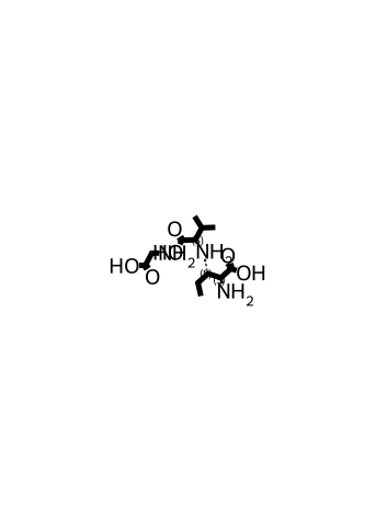 CC(C)[C@H](N)C(=O)O.CC[C@H](C)[C@H](N)C(=O)O.NCC(=O)O